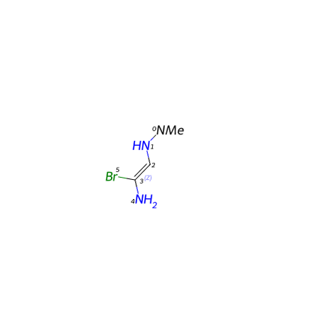 CNN/C=C(/N)Br